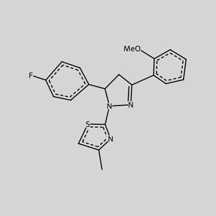 COc1ccccc1C1=NN(c2nc(C)cs2)C(c2ccc(F)cc2)C1